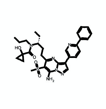 CCCN(C(=O)C1(O)CC1)[C@H](CC)CCc1nc2c(-c3ccc(-c4ccccc4)nc3)cnn2c(N)c1S(C)(=O)=O